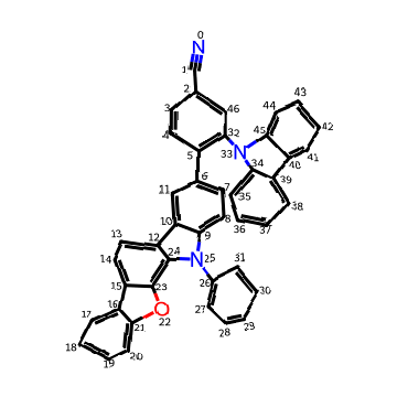 N#Cc1ccc(-c2ccc3c(c2)c2ccc4c5ccccc5oc4c2n3-c2ccccc2)c(-n2c3ccccc3c3ccccc32)c1